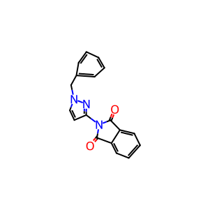 O=C1c2ccccc2C(=O)N1c1ccn(Cc2ccccc2)n1